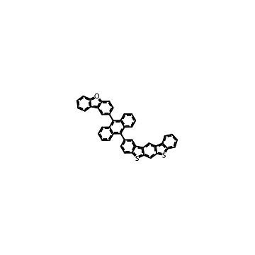 c1ccc2c(c1)oc1ccc(-c3c4ccccc4c(-c4ccc5sc6cc7sc8ccccc8c7cc6c5c4)c4ccccc34)cc12